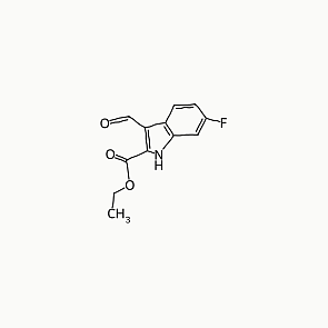 CCOC(=O)c1[nH]c2cc(F)ccc2c1C=O